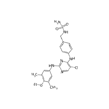 CCOc1c(C)cc(Nc2ncc(Cl)c(Nc3ccc(CNS(N)(=O)=O)cc3)n2)cc1C